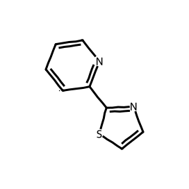 [c]1cccnc1-c1nccs1